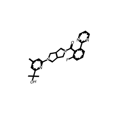 Cc1cc(N2CC3CN(C(=O)c4c(F)cccc4-c4ncccn4)CC3C2)nc(C(C)(C)O)c1